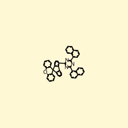 c1ccc2c(c1)Oc1ccccc1C21c2ccccc2-c2c(-c3nc(-c4cccc5ccccc45)nc(-c4cccc5ccccc45)n3)cccc21